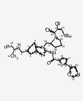 CC(NCc1ccc2c(c1)nc(NC(=O)c1ccc(-c3cnco3)s1)n2CC1CCCN1C(=O)C(C#N)=CC(C)(C)C)C(C)(C)C